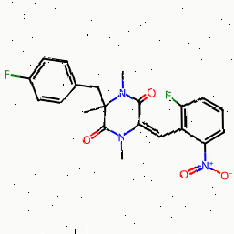 CN1C(=O)C(C)(Cc2ccc(F)cc2)N(C)C(=O)/C1=C\c1c(F)cccc1[N+](=O)[O-]